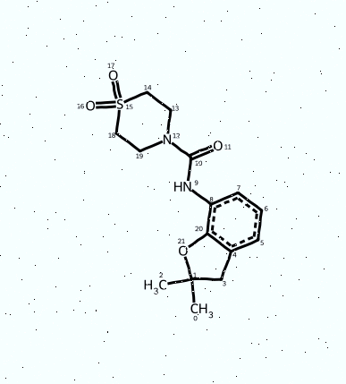 CC1(C)Cc2cccc(NC(=O)N3CCS(=O)(=O)CC3)c2O1